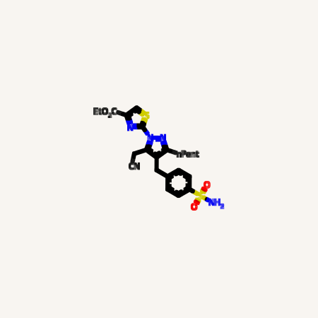 CCCCCc1nn(-c2nc(C(=O)OCC)cs2)c(CC#N)c1Cc1ccc(S(N)(=O)=O)cc1